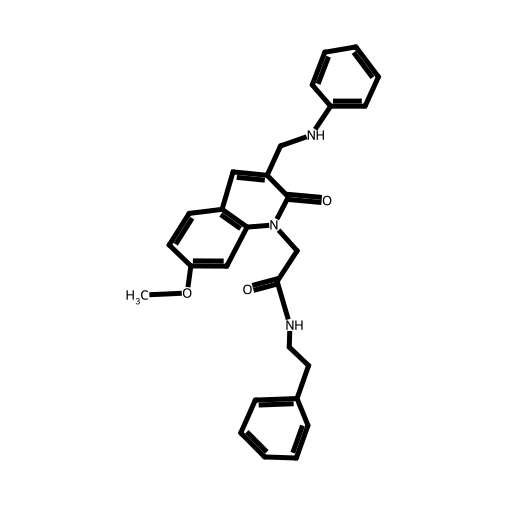 COc1ccc2cc(CNc3ccccc3)c(=O)n(CC(=O)NCCc3ccccc3)c2c1